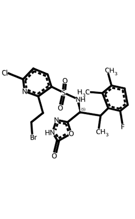 Cc1ccc(F)c(C(C)[C@H](NS(=O)(=O)c2ccc(Cl)nc2CCBr)c2n[nH]c(=O)o2)c1C